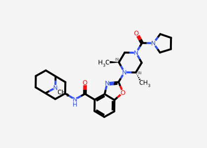 C[C@H]1CN(C(=O)N2CCCC2)C[C@H](C)N1c1nc2c(C(=O)NC3CC4CCCC(C3)N4C)cccc2o1